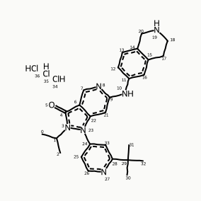 CC(C)n1c(=O)c2cnc(Nc3ccc4c(c3)CCNC4)cc2n1-c1ccnc(C(C)(C)C)c1.Cl.Cl.Cl